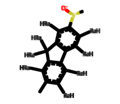 Cc1[c]([RaH])[c]([RaH])c2c([c]1[RaH])[C]([RaH])([RaH])c1[c]([RaH])c([S+](C)[O-])[c]([RaH])[c]([RaH])c1-2